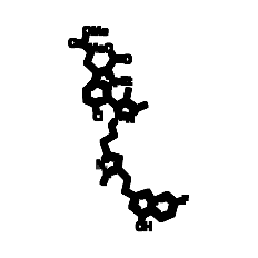 CCn1c(C(=O)OC)c(CCC(=O)OC)c2ccc(Cl)c(-c3c(C)c(C)nn3CCCc3cc(CCc4cc(O)c5ccc(F)cc5c4)n(C)n3)c21